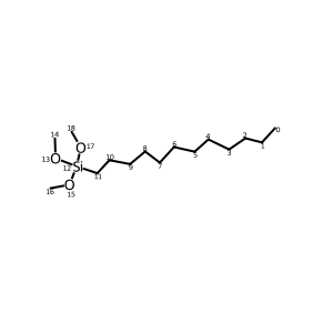 CCCCCCCCCCCC[Si](OC)(OC)OC